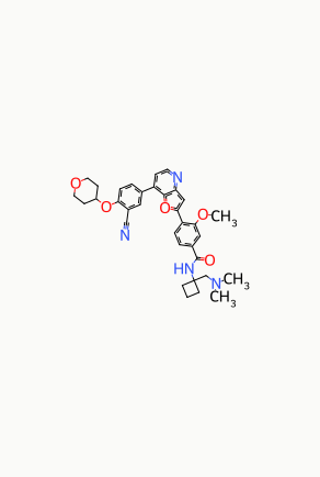 COc1cc(C(=O)NC2(CN(C)C)CCC2)ccc1-c1cc2nccc(-c3ccc(OC4CCOCC4)c(C#N)c3)c2o1